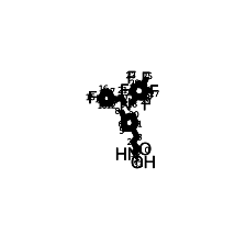 O=C(CCc1ccc(CN(Cc2ccc(F)cc2)Cc2c(F)c(F)c(F)c(F)c2F)cc1)NO